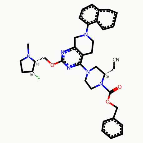 CN1CC[C@@H](F)[C@H]1COc1nc2c(c(N3CCN(C(=O)OCc4ccccc4)[C@@H](CC#N)C3)n1)CCN(c1cccc3ccccc13)C2